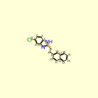 Clc1ccc2[nH]c(SCc3ccc4ccccc4c3)nc2c1